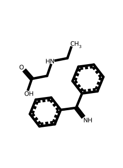 CCNCC(=O)O.N=C(c1ccccc1)c1ccccc1